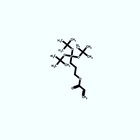 C=CC(=O)OCCC[Si](OC(C)(C)C)(OC(C)(C)C)OC(C)(C)C